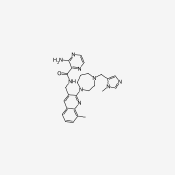 Cc1cccc2cc(CNC(=O)c3nccnc3N)c(N3CCCN(Cc4cncn4C)CC3)nc12